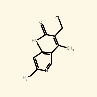 Cc1cc2[nH]c(=O)c(CCl)c(C)c2cn1